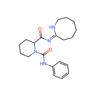 O=C(N=C1CCCCCCN1)C1CCCCN1C(=O)Nc1ccccc1